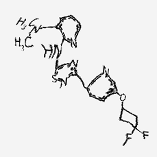 CN(C)c1cccnc1Nc1nc(-c2ccc(OC3CC(F)(F)C3)cn2)ns1